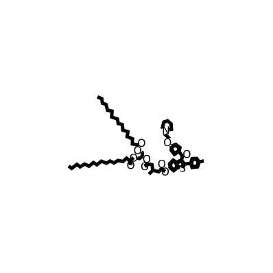 CCCCCCCCCCCCCCCC(=O)OCC(COC(=O)CCCCCCCCCCCCCCC)OC(=O)CC(C)CC(=O)Oc1ccc2c(C(=O)c3ccc(OCCN4CCCCC4)cc3)c(-c3ccc(C)cc3)sc2c1